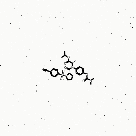 CC(C)OC(=O)[C@H](C)N(C(=O)[C@@H]1CCCN1S(=O)(=O)c1ccc(C#N)cc1)c1ccc(OC(=O)N(C)C)cc1